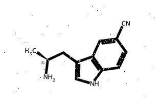 C[C@H](N)Cc1c[nH]c2ccc(C#N)cc12